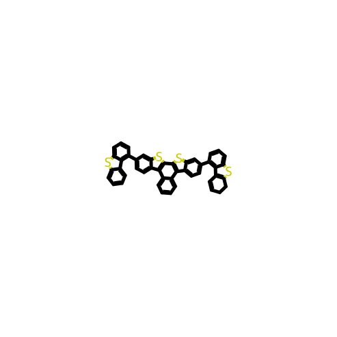 C1=Cc2c(sc3cccc(-c4ccc5c(c4)sc4c6sc7cc(-c8cccc9sc%10ccccc%10c89)ccc7c6c6ccccc6c54)c23)CC1